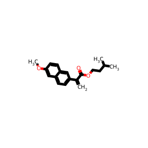 C=C(C(=O)OCCC(C)C)c1ccc2cc(OC)ccc2c1